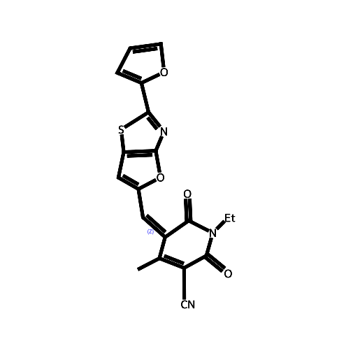 CCN1C(=O)C(C#N)=C(C)/C(=C/c2cc3sc(-c4ccco4)nc3o2)C1=O